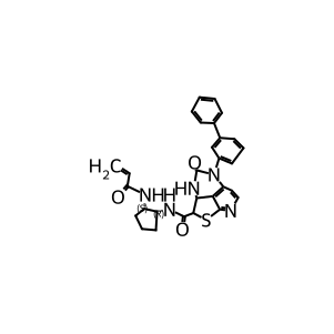 C=CC(=O)N[C@H]1CCC[C@H]1NC(=O)C1Sc2nccc3c2C1NC(=O)N3c1cccc(-c2ccccc2)c1